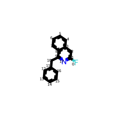 Fc1cc2ccccc2c(Cc2ccccc2)n1